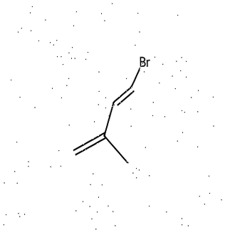 C=C(C)C=CBr